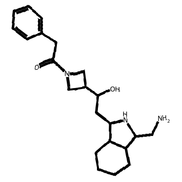 NCC1NC(CC(O)C2CN(C(=O)Cc3ccccc3)C2)C2CCCCC12